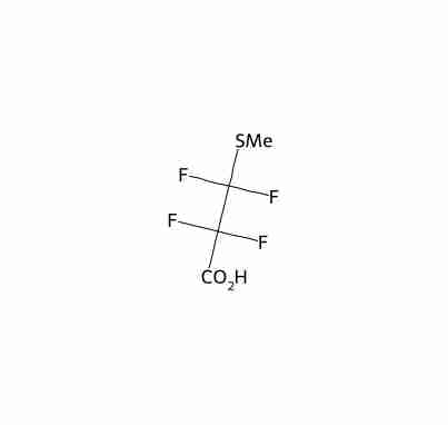 CSC(F)(F)C(F)(F)C(=O)O